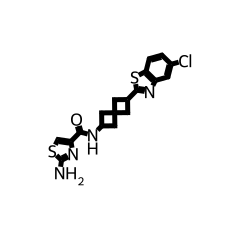 Nc1nc(C(=O)NC2CC3(C2)CC(c2nc4cc(Cl)ccc4s2)C3)cs1